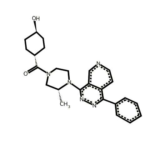 C[C@@H]1CN(C(=O)[C@H]2CC[C@H](O)CC2)CCN1c1nnc(-c2ccccc2)c2ccncc12